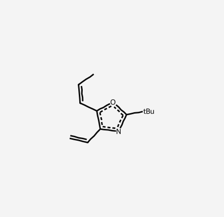 C=Cc1nc(C(C)(C)C)oc1/C=C\C